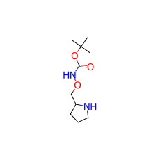 CC(C)(C)OC(=O)NOCC1CCCN1